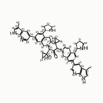 Cc1c[nH]c2ncc(-c3cc4c(c(C5CCCN5)c3)CCN(C(C(=O)C(N3CCc5c(cc(-c6cnc7[nH]cc(C)c7c6)cc5C5CCCN5)C3)C3(O)CC3)C3(O)CC3)C4)cc12